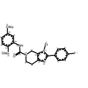 CCn1c(-c2ccc(F)cc2)nc2c1CN(C(=O)Nc1cc(OC)ccc1OC)CC2